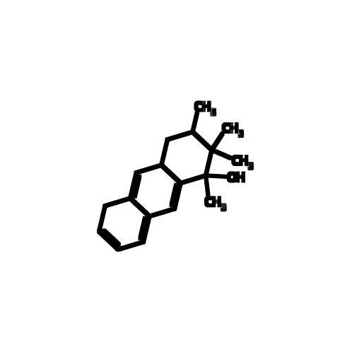 CC1CC2C=C3CC=CC=C3C=C2C(C)(O)C1(C)C